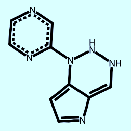 C1=NC2=CNNN(c3cnccn3)C2=C1